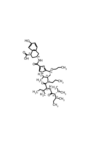 CCCO[C@H](C[C@H](C(C)C)N(CCC)C(=O)[C@@H](NC(=O)[C@@H]([C@@H](C)CC)N(C)C)[C@@H](C)CC)c1nc(C(=O)N[C@H]2Cc3ccc(O)cc3[C@H](C(=O)O)C2)cs1